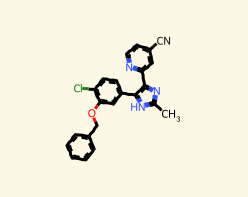 Cc1nc(-c2cc(C#N)ccn2)c(-c2ccc(Cl)c(OCc3ccccc3)c2)[nH]1